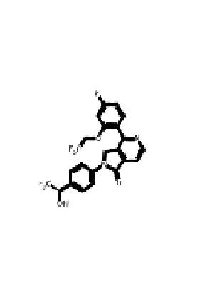 O=C1c2ccnc(-c3ccc(F)cc3OCC(F)(F)F)c2CN1c1ccc([C@@H](O)C(F)(F)F)cc1